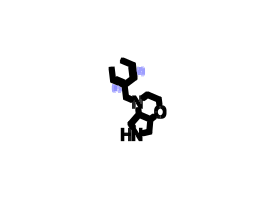 C/C=C\C(=C/C)CN1CCOC2CNCC21